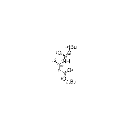 [CH2][C@H](CC(=O)OC(C)(C)C)NC(=O)OC(C)(C)C